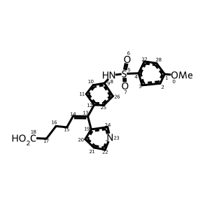 COc1ccc(S(=O)(=O)Nc2ccc(C(=CCCCC(=O)O)c3cccnc3)cc2)cc1